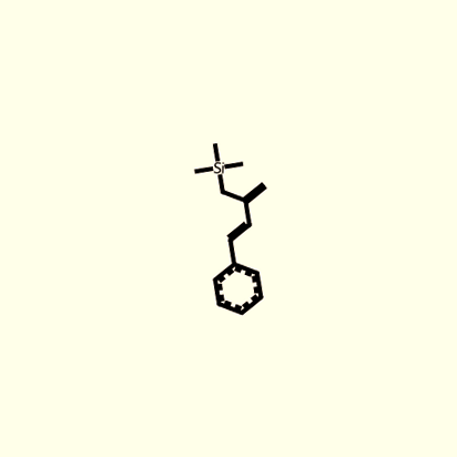 C=C(C=Cc1ccccc1)C[Si](C)(C)C